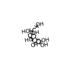 CC(C)(O)CC[C@@H](O)C(C)(O)C1CC[C@@]2(O)C3=CC(=O)[C@@H]4C[C@@H](O)[C@@H](O)C[C@]4(C)C3CC[C@]12C